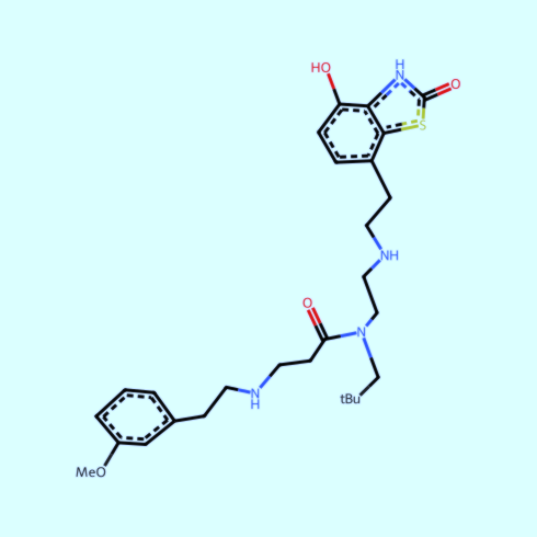 COc1cccc(CCNCCC(=O)N(CCNCCc2ccc(O)c3[nH]c(=O)sc23)CC(C)(C)C)c1